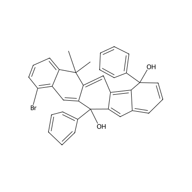 CC1(C)C2=CC3=C4C(=CC=CC4(O)c4ccccc4)C=C3C(O)(c3ccccc3)C2=Cc2c(Br)cccc21